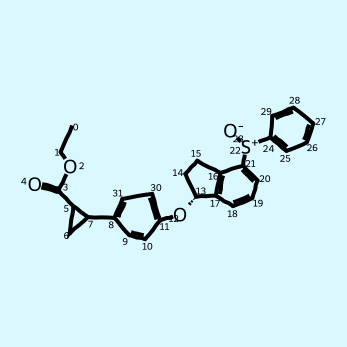 CCOC(=O)C1CC1c1ccc(O[C@@H]2CCc3c2cccc3[S+]([O-])c2ccccc2)cc1